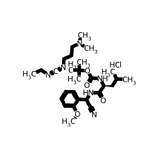 CCN=C=NCCCN(C)C.COc1ccccc1C(C#N)NC(=O)[C@H](CC(C)C)NC(=O)OC(C)(C)C.Cl